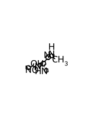 Cc1c[nH]c2ncc(-c3cc4c(c([C@@H]5CCCN5)c3)CN(C(=O)C(O)c3cccnc3)C4)cc12